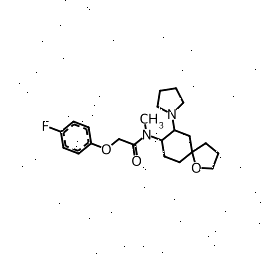 CN(C(=O)COc1ccc(F)cc1)C1CCC2(CCCO2)CC1N1CCCC1